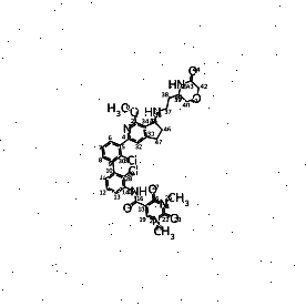 COc1nc(-c2cccc(-c3cccc(NC(=O)c4cn(C)c(=O)n(C)c4=O)c3Cl)c2Cl)cc2c1[C@@H](NCC[C@@H]1COCC(=O)N1)CC2